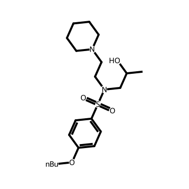 CCCCOc1ccc(S(=O)(=O)N(CCN2CCCCC2)CC(C)O)cc1